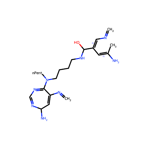 C=N/C=C(\C=C(/C)N)C(O)NCCCCN(CCCCC)C1=NC=NC(N)C=C1N=C